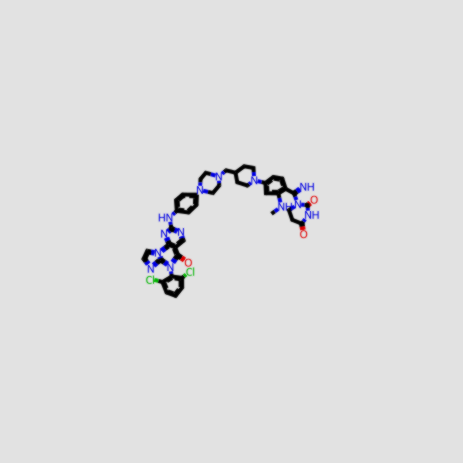 CNc1cc(N2CCC(CN3CCN(c4ccc(Nc5ncc6c(=O)n(-c7c(Cl)cccc7Cl)c7nccn7c6n5)cc4)CC3)CC2)ccc1C(=N)N1CCC(=O)NC1=O